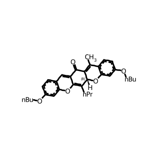 CCCCOc1ccc2c(c1)OC1=C(CCC)[C@H]3Oc4cc(OCCCC)ccc4C(C)=C3C(=O)C1=C2